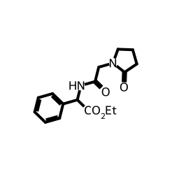 CCOC(=O)C(NC(=O)CN1CCCC1=O)c1ccccc1